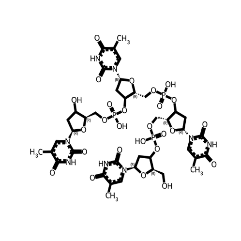 Cc1cn([C@H]2CC(O)[C@@H](COP(=O)(O)OC3C[C@H](n4cc(C)c(=O)[nH]c4=O)O[C@@H]3COP(=O)(O)OC3C[C@H](n4cc(C)c(=O)[nH]c4=O)O[C@@H]3COP(=O)(O)OC3C[C@H](n4cc(C)c(=O)[nH]c4=O)O[C@@H]3CO)O2)c(=O)[nH]c1=O